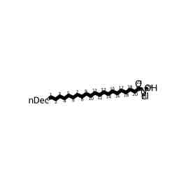 CCCCCCCCCCCCCCCCCCCCCCCCCCCCCCC(=O)N(O)Cl